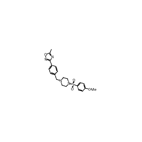 COc1ccc(S(=O)(=O)N2CCN(Cc3ccc(-c4noc(C)n4)cc3)CC2)cc1